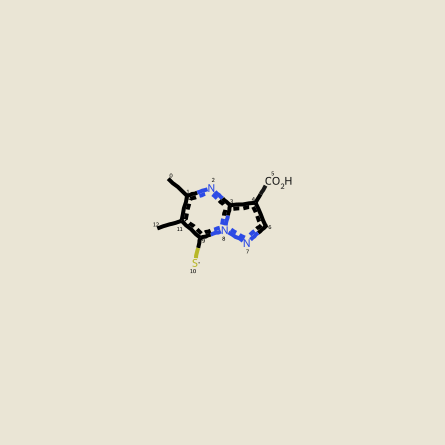 Cc1nc2c(C(=O)O)cnn2c([S])c1C